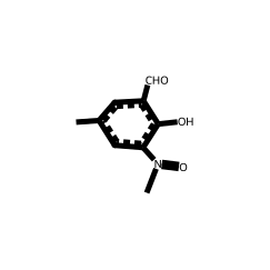 Cc1cc(C=O)c(O)c([N+](C)=O)c1